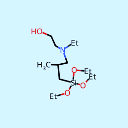 CCO[Si](CC(C)CN(CC)CCO)(OCC)OCC